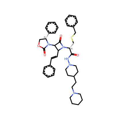 O=C(NN1CCC(CCN2CCCCC2)CC1)[C@@H](CSCc1ccccc1)N1C(=O)C(N2C(=O)OC[C@@H]2c2ccccc2)C1C=Cc1ccccc1